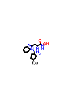 CC(C)(C)c1ccc(Cn2c(C[C@H](N)C(=O)NO)nc3ccccc32)cc1